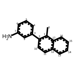 Cc1c(-c2cccc(N)c2)ccc2ccccc12